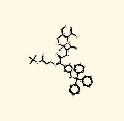 CC(C)(C)OC(=O)CO/N=C(\C(=O)NC1C(=O)N2C(C(=O)O)=C(CCl)CS[C@@H]12)c1csc(NC(c2ccccc2)(c2ccccc2)c2ccccc2)n1